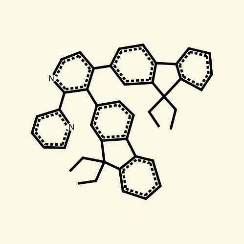 CCC1(CC)c2ccccc2-c2ccc(-c3ccnc(-c4ccccn4)c3-c3ccc4c(c3)C(CC)(CC)c3ccccc3-4)cc21